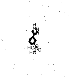 O=P(O)(O)Oc1cccc(-c2c[nH]nn2)c1